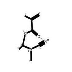 C=C(C)C(=O)OC(C)N(C)C#N